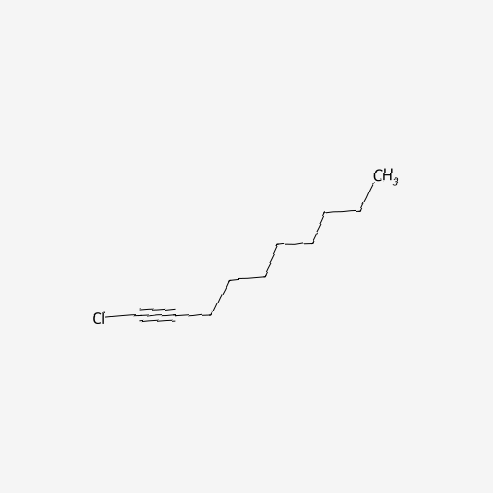 CCCCCCCCC#CCl